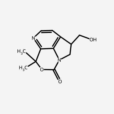 CC1(C)OC(=O)N2CC(CO)c3ccnc1c32